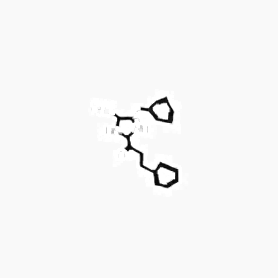 O=CC1NC(C(=O)CCc2ccccc2)N[C@H]1Cc1ccccc1